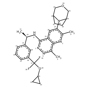 Cc1nc2c(C)nnc(N[C@H](C)c3cccc(C(F)(F)OC4CC4)c3)c2cc1N1C2CCC1COC2